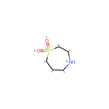 O=S1(=O)CCCNCC1